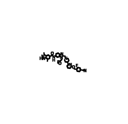 Cc1n[nH]c2c(C)cc(C(=O)Nc3ccc4nc(CN5CC=C(c6cccc(OCc7ccc(C#N)cc7F)n6)CC5)n(CC5CCO5)c4c3)cc12